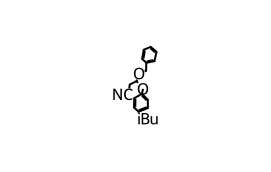 [C-]#[N+]CC(OCc1ccccc1)Oc1ccc(C(C)CC)cc1